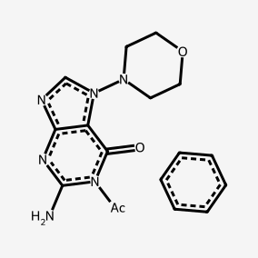 CC(=O)n1c(N)nc2ncn(N3CCOCC3)c2c1=O.c1ccccc1